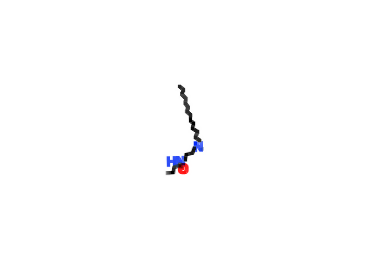 CCCCCCCCCCCCCCN(C)CCCCNC(=O)CCC